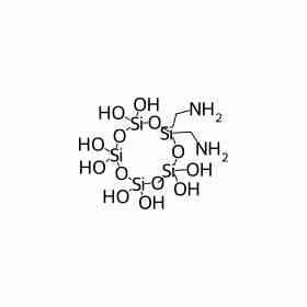 NC[Si]1(CN)O[Si](O)(O)O[Si](O)(O)O[Si](O)(O)O[Si](O)(O)O1